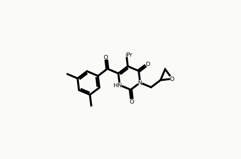 Cc1cc(C)cc(C(=O)c2[nH]c(=O)n(CC3CO3)c(=O)c2C(C)C)c1